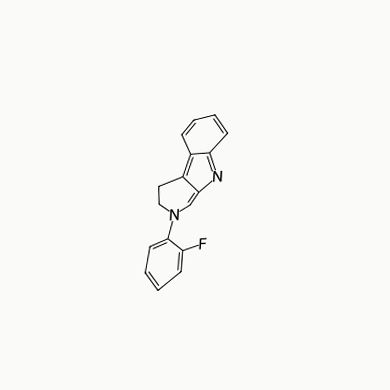 Fc1ccccc1N1C=C2N=c3ccccc3=C2CC1